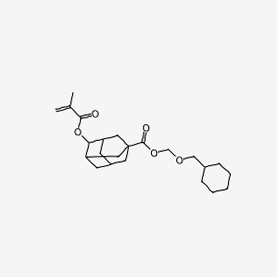 C=C(C)C(=O)OC1C2CC3CC1CC(C(=O)OCOCC1CCCCC1)(C3)C2